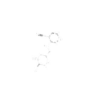 N#Cc1ccncc1OC[C@@H]1CNC(=O)CO1